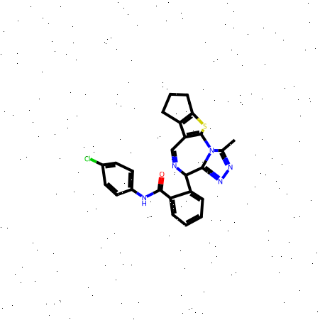 Cc1nnc2n1-c1sc3c(c1C=NC2c1ccccc1C(=O)Nc1ccc(Cl)cc1)CCC3